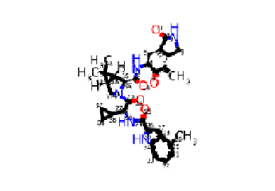 C=CC(=O)[C@H](C[C@@H]1CCNC1=O)NC(=O)[C@@H]1[C@@H]2[C@H](CN1C(=O)[C@@H](NC(=O)c1cc3c(C)cccc3[nH]1)C1CC1)C2(C)C